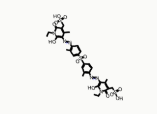 CCn1c(O)c(/N=N/c2ccc(S(=O)(=O)c3ccc(/N=N/c4c(C)c(CS(=O)(=O)O)c(=O)n(CC)c4O)c(C)c3)cc2C)c(C)c(CS(=O)(=O)O)c1=O